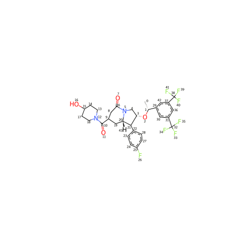 C[C@@H](O[C@H]1CN2C(=O)CC(C(=O)N3CCC(O)CC3)C[C@H]2C1c1ccc(F)cc1)c1cc(C(F)(F)F)cc(C(F)(F)F)c1